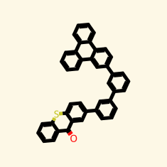 O=c1c2ccccc2sc2ccc(-c3cccc(-c4cccc(-c5ccc6c7ccccc7c7ccccc7c6c5)c4)c3)cc12